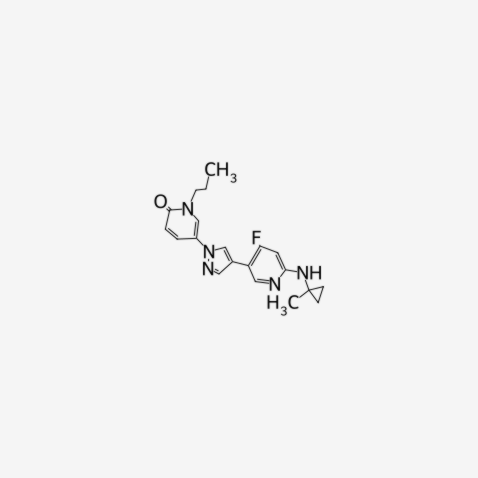 CCCn1cc(-n2cc(-c3cnc(NC4(C)CC4)cc3F)cn2)ccc1=O